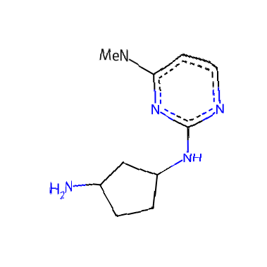 CNc1ccnc(NC2CCC(N)C2)n1